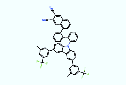 Cc1cc(-c2ccc3c(c2)c2cc(-c4cc(C)cc(C(F)(F)F)c4)ccc2n3-c2ccccc2-c2ccccc2-c2cccc3cc(C#N)c(C#N)cc23)cc(C(F)(F)F)c1